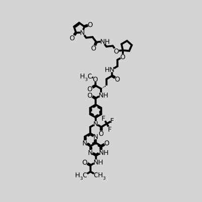 COC(=O)[C@H](CCC(=O)NCCOC1(OCCNC(=O)CCN2C(=O)C=CC2=O)CCCC1)NC(=O)c1ccc(N(Cc2cnc3nc(NC(=O)C(C)C)[nH]c(=O)c3n2)C(=O)C(F)(F)F)cc1